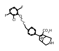 O=C(O)C1=C(c2ccc(CCCOc3c(F)ccc(F)c3Cl)cc2)CC2CNCC1N2